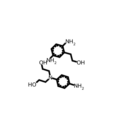 Nc1ccc(N(CCO)CCO)cc1.Nc1ccc(N)c(CCO)c1